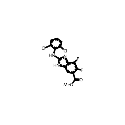 COC(=O)c1cc2[nH]c(Nc3c(Cl)cccc3Cl)nc2c(F)c1F